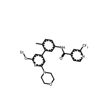 CCOc1cc(-c2cc(NC(=O)c3ccnc(C(F)(F)F)c3)ccc2C)cc(N2CCOCC2)n1